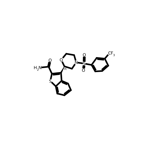 NC(=O)c1sc2ccccc2c1[C@@H]1CN(S(=O)(=O)c2cccc(C(F)(F)F)c2)CCO1